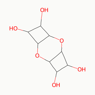 OC1C(O)C2OC3C(O)C(O)C3OC12